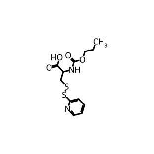 CCCOC(=O)NC(CSSc1ccccn1)C(=O)O